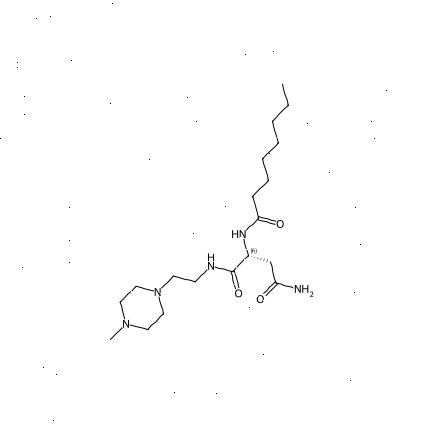 CCCCCCCC(=O)N[C@H](CC(N)=O)C(=O)NCCN1CCN(C)CC1